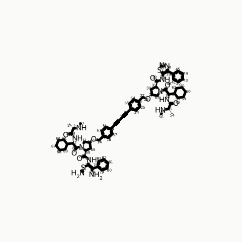 CN[C@@H](C)C(=O)N[C@H](C(=O)N1CC(OCc2ccc(C#CC#Cc3ccc(CO[C@H]4C[C@@H](C(=O)Nc5snnc5-c5ccccc5)N(C(=O)[C@@H](NC(=O)[C@H](C)NC)C5CCCCC5)C4)cc3)cc2)C[C@H]1C(=O)N/C(SN)=C(/N)c1ccccc1)C1CCCCC1